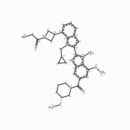 CC[C@@H]1CCCN(C(=O)c2cc(OC)c3c(c2)nc(-c2cc4cccc(C5CN(C(=O)CO)C5)c4n2CC2CC2)n3C)C1